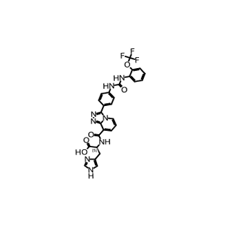 O=C(Nc1ccc(-c2nnc3c(C(=O)N[C@@H](Cc4c[nH]cn4)C(=O)O)cccn23)cc1)Nc1ccccc1OC(F)(F)F